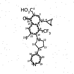 O=C(O)c1cn(C2CC2)c2c(C(F)(F)F)c(N3CCC(c4ccncc4)C3)c(F)cc2c1=O